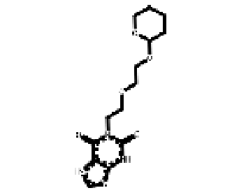 O=c1[nH]c2nc[nH]c2c(=O)n1CCOCCOC1CCCCO1